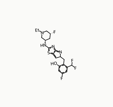 CCN1C[C@H](F)C[C@@H](Nc2nc3c(s2)=CC(Cc2c(O)cc(F)cc2C(F)F)N=3)C1